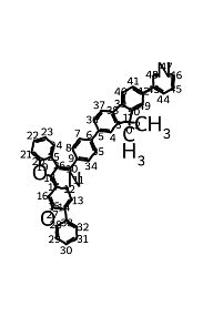 CC1(C)c2cc(-c3ccc(-c4nc5cc6c(cc5c5oc7ccccc7c45)oc4ccccc46)cc3)ccc2-c2ccc(-c3cccnc3)cc21